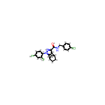 O=C(NCc1ccc(Cl)cc1)c1nn(-c2ccc(F)cc2F)c2c1C1CCC2C1